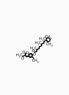 CCc1cc2cc(C(C)=O)c(=O)oc2cc1OC(=O)/C=C(C)/C=C/C=C(C)/C=C/C1=C(C)CCCC1(C)C